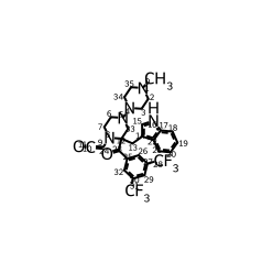 CN1CCN(N2CCN(C=C=O)C(Cc3c[nH]c4ccccc34)(C(=O)c3cc(C(F)(F)F)cc(C(F)(F)F)c3)C2)CC1